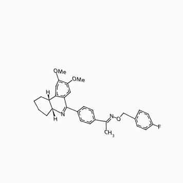 COc1cc2c(cc1OC)[C@H]1CCCC[C@H]1N=C2c1ccc(C(C)=NOCc2ccc(F)cc2)cc1